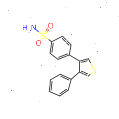 NS(=O)(=O)c1ccc(-c2cscc2-c2ccccc2)cc1